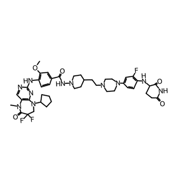 COc1cc(C(=O)NN2CCC(CCN3CCN(c4ccc(NC5CCC(=O)NC5=O)c(F)c4)CC3)CC2)ccc1Nc1ncc2c(n1)N(C1CCCC1)CC(F)(F)C(=O)N2C